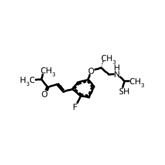 CC(S)NC[C@@H](C)Oc1ccc(F)c(/C=C/C(=O)C(C)C)c1